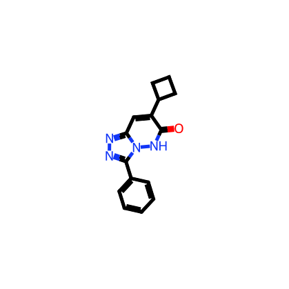 O=c1[nH]n2c(-c3ccccc3)nnc2cc1C1CCC1